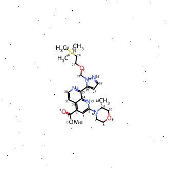 COC(=O)c1cc(N2CCOC[C@H]2C)nc2c(-c3ccnn3COCCS(C)(C)C)nccc12